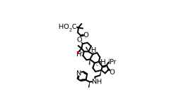 CC(C)C1=C2[C@H]3CC[C@@H]4[C@@]5(C)CC[C@H](OC(=O)CC(C)(C)C(=O)O)C(C)(C)[C@@H]5CC[C@@]4(C)[C@]3(C)CC[C@@]2(CCN[C@@H](C)c2ccncc2)CC1=O